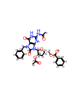 CC(=O)Nc1nc2c(c(=O)[nH]1)n(Cc1ccccc1)c(=O)n2C1O[C@H](COC(=O)c2ccccc2)C[C@H]1OC(C)=O